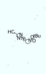 C#Cc1cnc(N2CC3(CCCN(C(=O)OC(C)(C)C)C3)C2)nc1